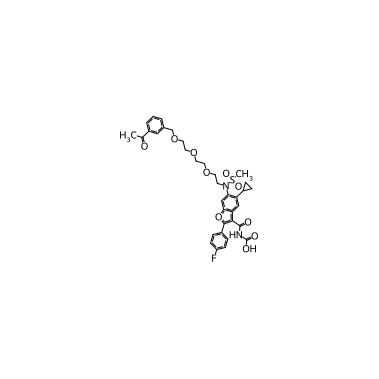 CC(=O)c1cccc(COCCOCCOCCN(c2cc3oc(-c4ccc(F)cc4)c(C(=O)NC(=O)O)c3cc2C2CC2)S(C)(=O)=O)c1